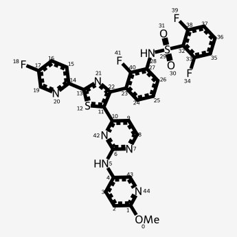 COc1ccc(Nc2nccc(-c3sc(-c4ccc(F)cn4)nc3-c3cccc(NS(=O)(=O)c4c(F)cccc4F)c3F)n2)cn1